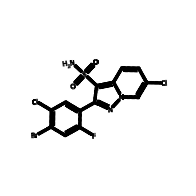 NS(=O)(=O)c1c(-c2cc(Cl)c(Br)cc2F)nn2cc(Cl)ccc12